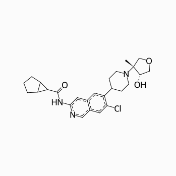 C[C@@]1(N2CCC(c3cc4cc(NC(=O)C5C6CCCC65)ncc4cc3Cl)CC2)COC[C@@H]1O